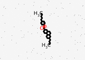 CCCCCc1ccc(OC(=O)C2CCC3C(CCC4CC(CCCC)CCC43)C2)cc1